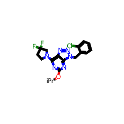 CC(C)Oc1nc(N2CCC(F)(F)C2)c2nnn(Cc3ccccc3Cl)c2n1